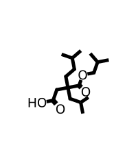 CC(C)CCC(CC(=O)O)(CC(C)C)C(=O)OCC(C)C